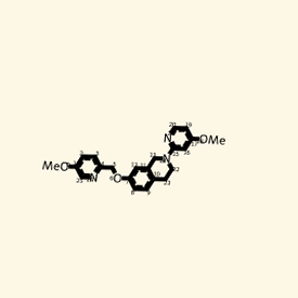 COc1ccc(COc2ccc3c(c2)CN(c2cc(OC)ccn2)CC3)nc1